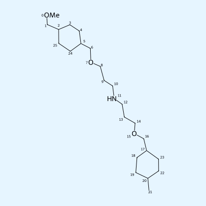 COCC1CCC(COCCCNCCCOCC2CCC(C)CC2)CC1